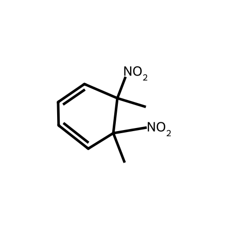 CC1([N+](=O)[O-])C=CC=CC1(C)[N+](=O)[O-]